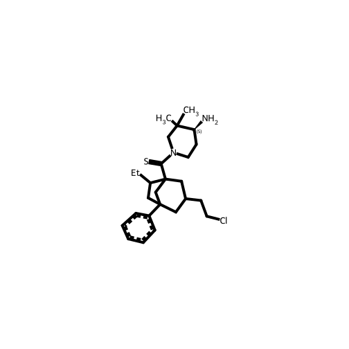 CCC1CC2(c3ccccc3)CC(CCCl)CC1(C(=S)N1CC[C@H](N)C(C)(C)C1)C2